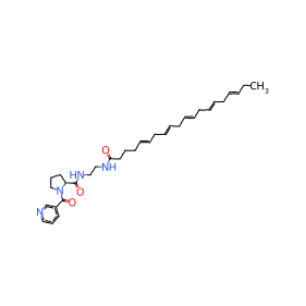 CCC=CCC=CCC=CCC=CCC=CCCCC(=O)NCCNC(=O)[C@@H]1CCCN1C(=O)c1cccnc1